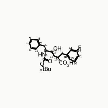 CC(C)(C)OC(=O)N[C@@H](Cc1ccccc1)[C@@H](O)C[C@@H](Cc1cccc(F)c1)C(=O)O